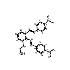 CN(C)c1ccc(C=Cc2cccc(CCO)c2C=Cc2ccc(N(C)C)cc2)cc1